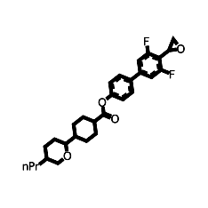 CCCC1CCC(C2CCC(C(=O)Oc3ccc(-c4cc(F)c(C5CO5)c(F)c4)cc3)CC2)OC1